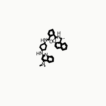 C[C@@H](NC(=O)c1ccccc1C(=O)NC1CCC(Nc2cc(N(C)C)c3ccccc3n2)CC1)c1cccc2ccccc12